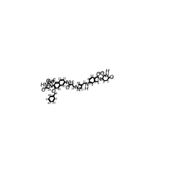 O=C1CCC(N2Cc3cc(NCc4cnn(CCC(=O)Nc5ccc6c(F)c(N7CC(=O)NS7(=O)=O)c(OCc7ccccc7)cc6c5)c4)ccc3C2=O)C(=O)N1